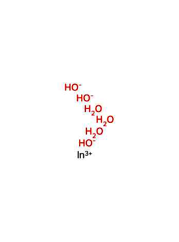 O.O.O.[In+3].[OH-].[OH-].[OH-]